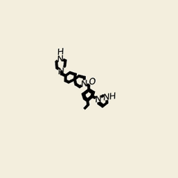 CCc1ccc(C(=O)N2CCC3(CCC(CN4CCNCC4)CC3)CC2)cc1N1C=CCNC1